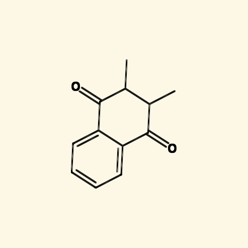 CC1C(=O)c2ccccc2C(=O)C1C